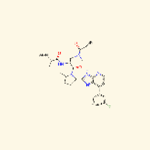 CN[C@@H](C)C(=O)N[C@@H](CN(C)C(=O)CC(C)C)C(=O)N1C(C)CC[C@H]1c1nc2c(-c3cccc(F)c3)ccnc2[nH]1